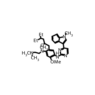 CCC(CC)CC(=O)Cc1cc(Nc2nccc(-c3cn(C)c4ccccc34)n2)c(OC)cc1N(C)CCN(C)C